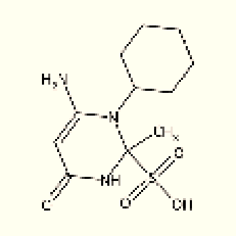 CC1(S(=O)(=O)O)NC(=O)C=C(N)N1C1CCCCC1